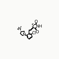 CN(C)[C@H]1CCN(c2cccc(Cl)c2C=C=C2SC(=O)NC2=O)C1